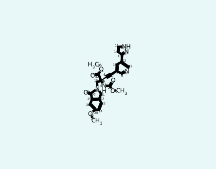 COC(=O)N[C@](C#Cc1cncc(-c2cc[nH]n2)c1)(CN1Cc2ccc(OC)cc2C1=O)C(=O)OC